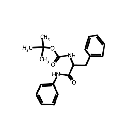 CC(C)(C)OC(=O)NC(Cc1ccccc1)C(=O)Nc1ccccc1